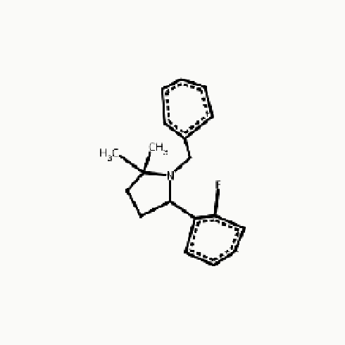 CC1(C)CCC(c2cc[c]cc2F)N1Cc1ccccc1